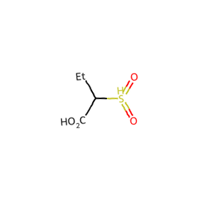 CCC(C(=O)O)[SH](=O)=O